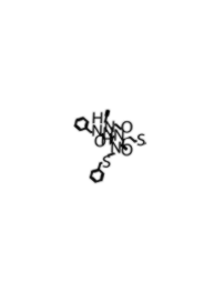 C#CCN1CC(=O)N2[C@@H](CCSC)C(=O)N(CCSCc3ccccc3)C[C@@H]2N1C(=O)NCc1ccccc1